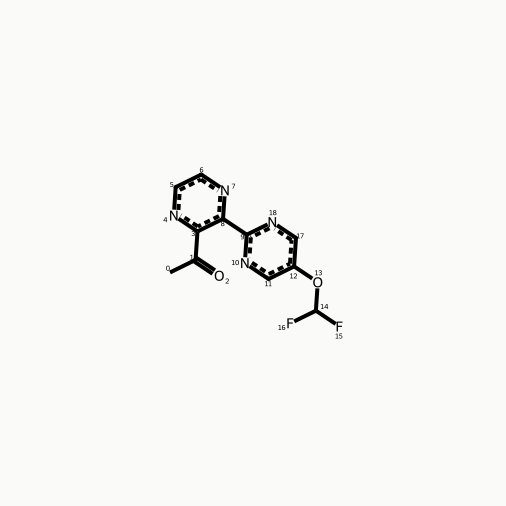 CC(=O)c1nccnc1-c1ncc(OC(F)F)cn1